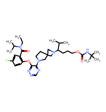 CCN(C(=O)c1cc(F)ccc1Oc1nncnc1N1CCC2(C1)CN(C(CCCOC(=O)NC(C)(C)C)C(C)C)C2)C(C)C